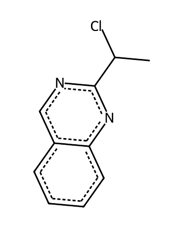 CC(Cl)c1ncc2ccccc2n1